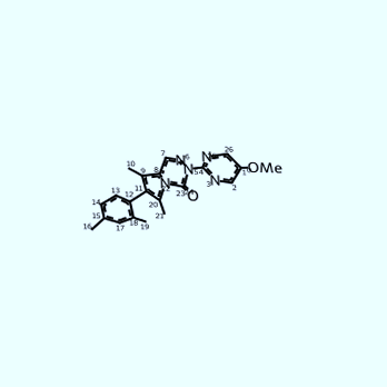 COc1cnc(-n2ncc3c(C)c(-c4ccc(C)cc4C)c(C)n3c2=O)nc1